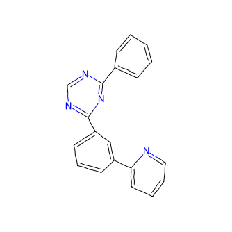 c1ccc(-c2ncnc(-c3cccc(-c4ccccn4)c3)n2)cc1